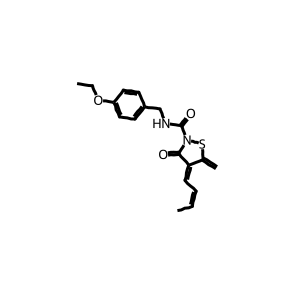 C=c1sn(C(=O)NCc2ccc(OCC)cc2)c(=O)/c1=C/C=C\C